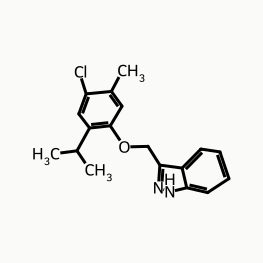 Cc1cc(OCc2n[nH]c3ccccc23)c(C(C)C)cc1Cl